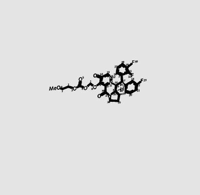 COCCOC(=O)OCOc1c2n(ncc1=O)[C@@H]([C@H](c1cccc(F)c1)c1cccc(F)c1F)[C@H]1CCCN1C2=O